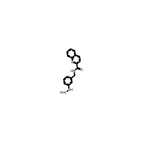 O=CNc1[c]ccc(CNC(=O)c2ccc3ccccc3n2)c1